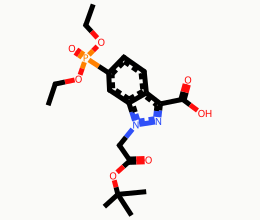 CCOP(=O)(OCC)c1ccc2c(C(=O)O)nn(CC(=O)OC(C)(C)C)c2c1